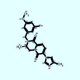 Cc1cn(-c2ccc3n(c2=O)C[C@@H](C)N(Cc2cc(F)cc(OC(F)(F)F)c2)C3=O)cn1